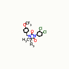 CC1(C)C(=O)N(c2ccc(Cl)c(Cl)c2)C(=O)N1Cc1ccc(OC(F)(F)F)cc1